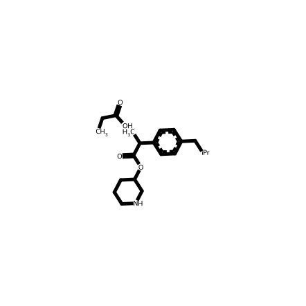 CC(C)Cc1ccc(C(C)C(=O)OC2CCCNC2)cc1.CCC(=O)O